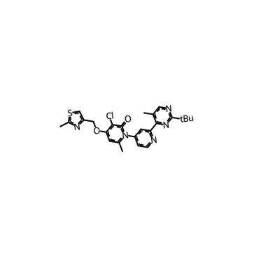 Cc1nc(COc2cc(C)n(-c3ccnc(-c4nc(C(C)(C)C)ncc4C)c3)c(=O)c2Cl)cs1